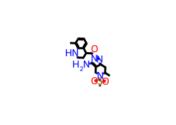 Cc1cccc2c1NCCC2C(=O)n1nc2c(c1N)CN(S(C)(=O)=O)C(C)C2